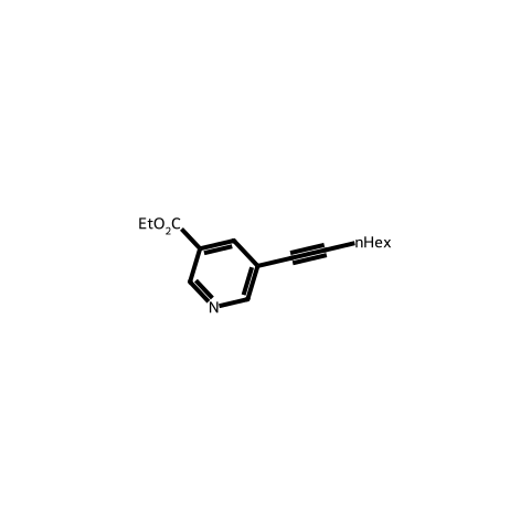 CCCCCCC#Cc1cncc(C(=O)OCC)c1